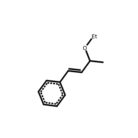 CCOC(C)C=Cc1ccccc1